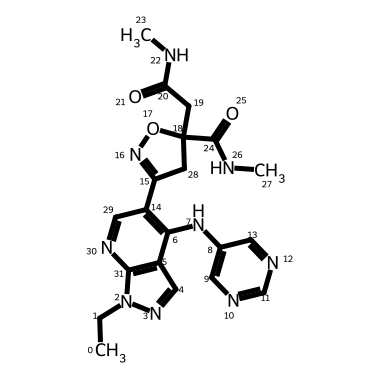 CCn1ncc2c(Nc3cncnc3)c(C3=NOC(CC(=O)NC)(C(=O)NC)C3)cnc21